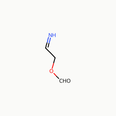 N=CCOC=O